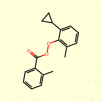 Cc1ccccc1C(=O)OOc1c(C)cccc1C1CC1